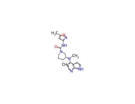 Cc1cc(NC(=O)N2CC[C@@H](C)C(N(C)c3ccnc4[nH]ccc34)C2)no1